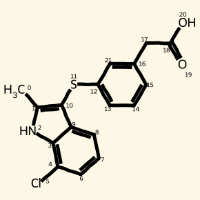 Cc1[nH]c2c(Cl)cccc2c1Sc1cccc(CC(=O)O)c1